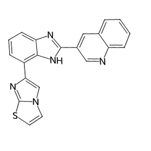 c1ccc2ncc(-c3nc4cccc(-c5cn6ccsc6n5)c4[nH]3)cc2c1